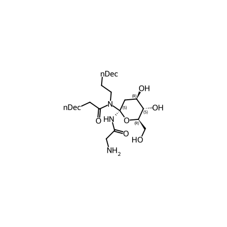 CCCCCCCCCCCCN(C(=O)CCCCCCCCCCC)[C@@]1(NC(=O)CN)C[C@@H](O)[C@H](O)[C@@H](CO)O1